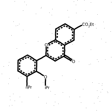 CCCc1cccc(-c2cc(=O)c3cc(C(=O)OCC)ccc3o2)c1OC(C)C